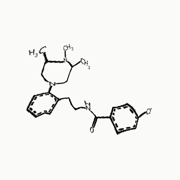 CC1CN(c2ccccc2CCNC(=O)c2ccc(Cl)cc2)CC(C)N1C